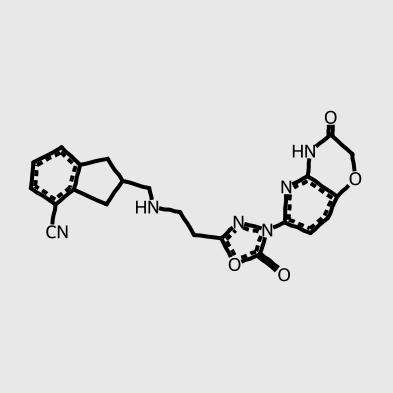 N#Cc1cccc2c1CC(CNCCc1nn(-c3ccc4c(n3)NC(=O)CO4)c(=O)o1)C2